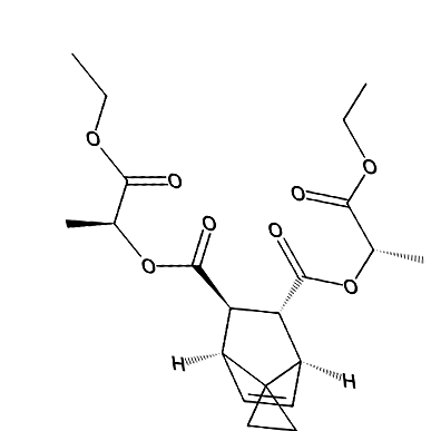 CCOC(=O)[C@H](C)OC(=O)[C@H]1[C@H](C(=O)O[C@@H](C)C(=O)OCC)[C@@H]2C=C[C@H]1C21CC1